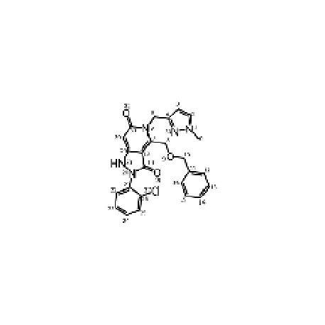 Cn1ccc(Cn2c(COCc3ccccc3)c3c(=O)n(-c4ccccc4Cl)[nH]c3cc2=O)n1